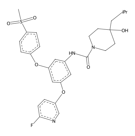 CC(C)CC1(O)CCN(C(=O)Nc2cc(Oc3ccc(S(C)(=O)=O)cc3)cc(Oc3ccc(F)nc3)c2)CC1